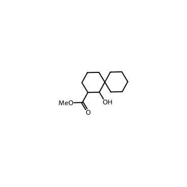 COC(=O)C1CCCC2(CCCCC2)C1O